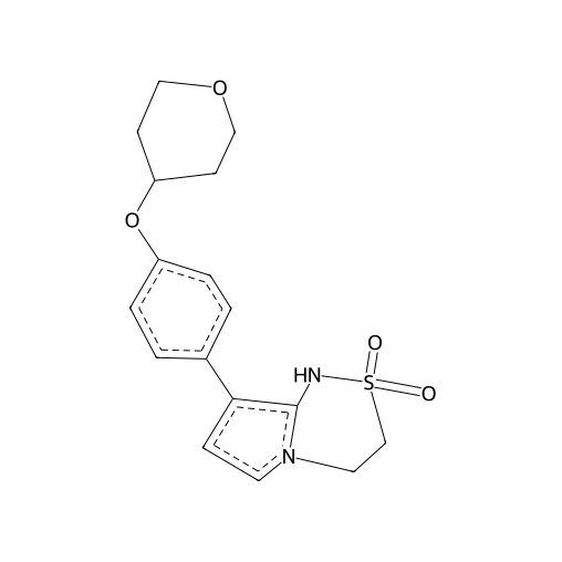 O=S1(=O)CCn2ccc(-c3ccc(OC4CCOCC4)cc3)c2N1